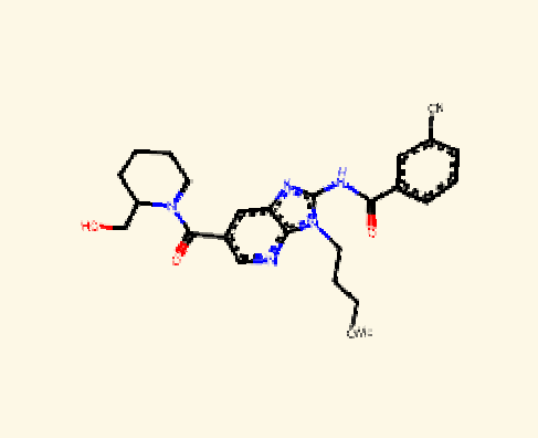 COCCCn1c(NC(=O)c2cccc(C#N)c2)nc2cc(C(=O)N3CCCCC3CO)cnc21